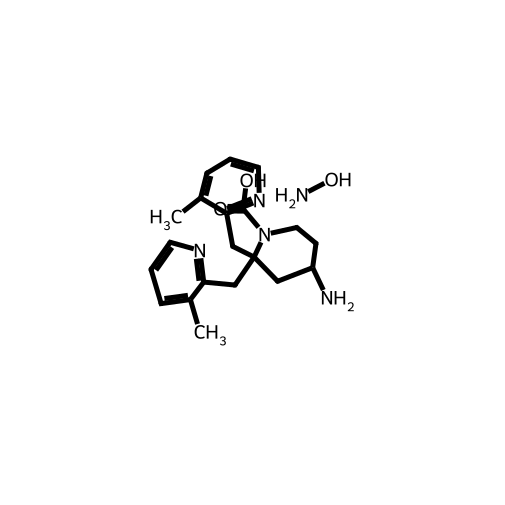 Cc1cccnc1CC1(Cc2ncccc2C)CC(N)CCN1C(=O)O.NO